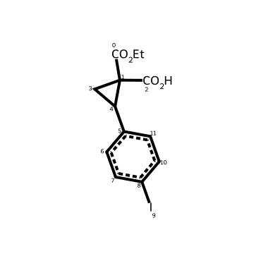 CCOC(=O)C1(C(=O)O)CC1c1ccc(I)cc1